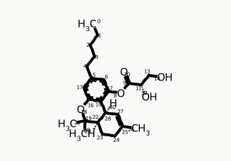 CCCCCc1cc(OC(=O)[C@@H](O)CO)c2c(c1)OC(C)(C)[C@@H]1CCC(C)=C[C@H]21